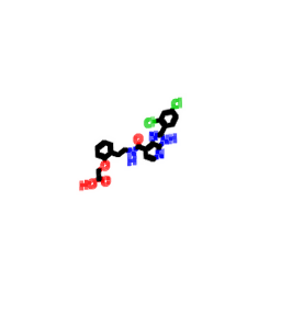 O=C(O)COc1ccccc1CCNC(=O)c1ccnc2[nH]c(-c3ccc(Cl)cc3Cl)nc12